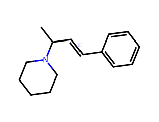 CC(/C=C/c1ccccc1)N1CCCCC1